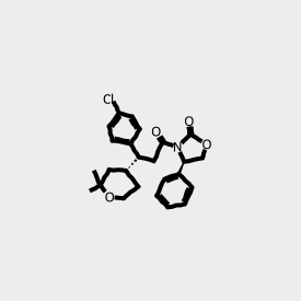 CC1(C)C[C@H](C(CC(=O)N2C(=O)OC[C@H]2c2ccccc2)c2ccc(Cl)cc2)CCO1